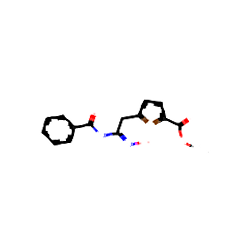 COC(=O)c1ccc(C/C(=N\O)NC(=O)c2ccccc2)s1